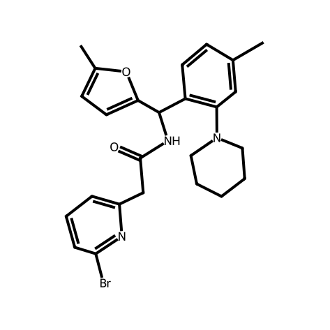 Cc1ccc(C(NC(=O)Cc2cccc(Br)n2)c2ccc(C)o2)c(N2CCCCC2)c1